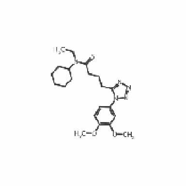 CCN(C(=S)CCCc1nnnn1-c1ccc(OC)c(OC)c1)C1CCCCC1